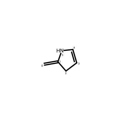 C=C1CC=CN1